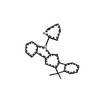 CC1(C)c2ccccc2-c2cc3c(cc21)c1ccccc1n3-c1ccccn1